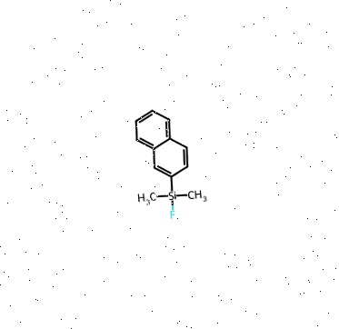 C[Si](C)(F)c1ccc2ccccc2c1